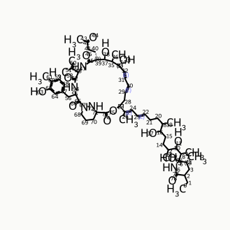 CCC1C[C@H](C)[C@@](O)(C(C)C(O)C(C)CCC(O)C(C)CC/C=C/C=C(\C)[C@@H]2C/C=C/C=C/[C@H](O)C(C)C(O)[C@@H](CCC(C)=O)C(=O)NC(C(C)C)C(=O)NC(Cc3ccc(C)c(O)c3)C(=O)N3CCCC(N3)C(=O)O2)NC1=O